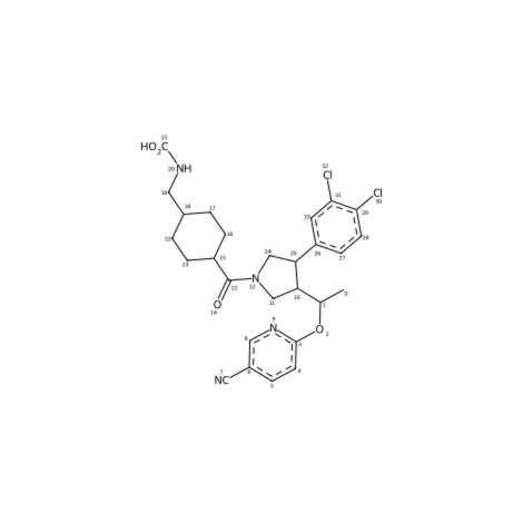 CC(Oc1ccc(C#N)cn1)C1CN(C(=O)C2CCC(CNC(=O)O)CC2)CC1c1ccc(Cl)c(Cl)c1